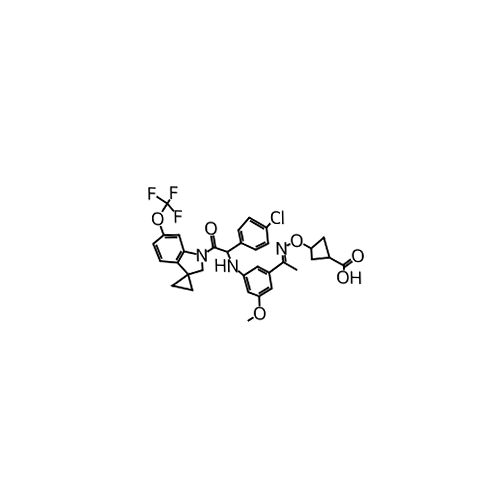 COc1cc(NC(C(=O)N2CC3(CC3)c3ccc(OC(F)(F)F)cc32)c2ccc(Cl)cc2)cc(C(C)=NOC2CC(C(=O)O)C2)c1